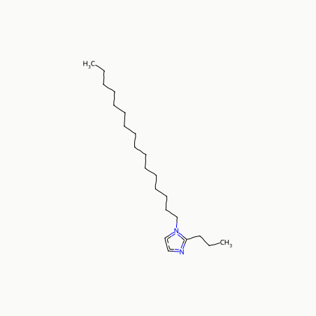 CCCCCCCCCCCCCCCCn1ccnc1CCC